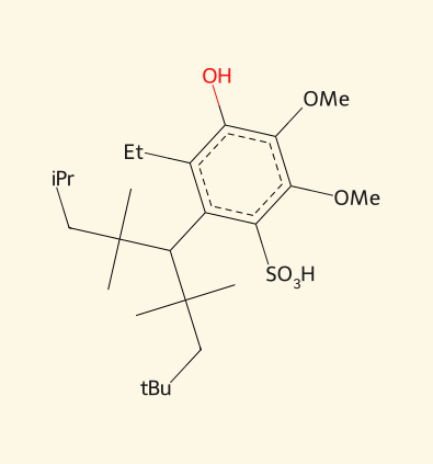 CCc1c(O)c(OC)c(OC)c(S(=O)(=O)O)c1C(C(C)(C)CC(C)C)C(C)(C)CC(C)(C)C